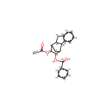 CC(C)C(=O)OC1C2CC(C1OC(=O)c1ccccc1)C1c3ccccc3CC21